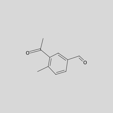 CC(=O)c1cc(C=O)ccc1C